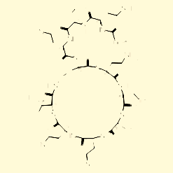 CCCCCCCC(=O)N[C@@H](CCN)C(=O)N[C@@H](CO)C(=O)N[C@@H](CCN)C(=O)N[C@H]1CCNC(=O)[C@H]([C@@H](C)O)NC(=O)[C@H](CCN)NC(=O)[C@H](CCN)NC(=O)[C@H](C(C)C)NC(=O)[C@@H](CC(C)C)NC(=O)[C@H](CCN)NC1=O